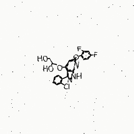 OCC(O)COc1cc(Oc2ccc(F)cc2F)nc2[nH]nc(-c3ccccc3Cl)c12